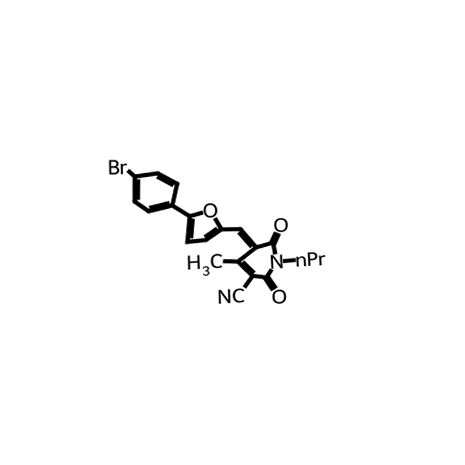 CCCN1C(=O)C(C#N)=C(C)/C(=C\c2ccc(-c3ccc(Br)cc3)o2)C1=O